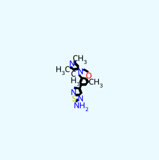 Cc1cc(N2CCOc3c(C)cc(-c4cnc5sc(N)nc5c4)cc3C2)c(C)c(C)n1